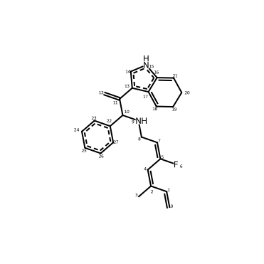 C=C/C(C)=C\C(F)=C/CNC(C(=C)c1c[nH]c2c1=CCCC=2)c1ccccc1